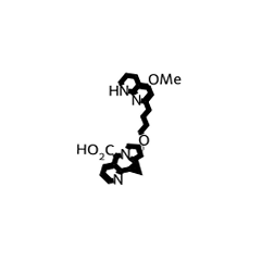 COc1cc(CCCCO[C@@H]2CCN(C(C(=O)O)c3cccnc3C3CC3)C2)nc2c1CCCN2